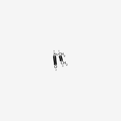 C=C.[O]=[Zn]